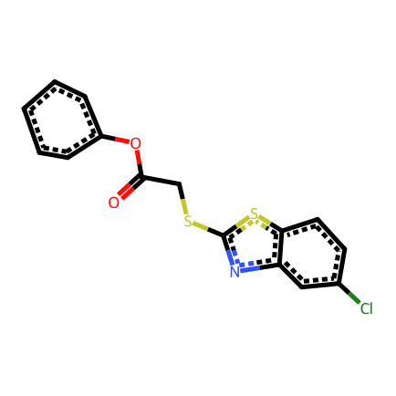 O=C(CSc1nc2cc(Cl)ccc2s1)Oc1ccccc1